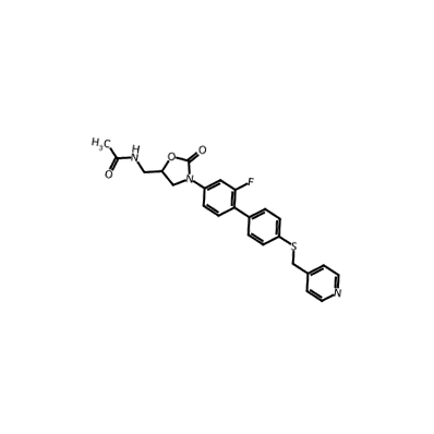 CC(=O)NCC1CN(c2ccc(-c3ccc(SCc4ccncc4)cc3)c(F)c2)C(=O)O1